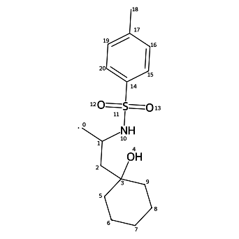 [CH2]C(CC1(O)CCCCC1)NS(=O)(=O)c1ccc(C)cc1